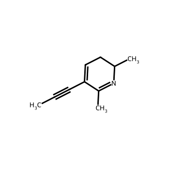 CC#CC1=CCC(C)N=C1C